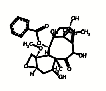 CO[C@@]12CO[C@@H]1C[C@H](O)[C@@]1(C)C(=O)[C@H](O)C3=C(C)[C@@H](O)C[C@@](O)([C@@H](OC(=O)c4ccccc4)[C@H]21)C3(C)C